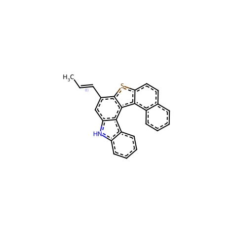 C/C=C/c1cc2[nH]c3ccccc3c2c2c1sc1ccc3ccccc3c12